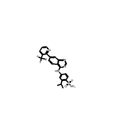 CC(C)c1cc(Nc2ncnc3cc(-c4ncccc4C(F)(F)F)ccc23)ccc1S(N)(=O)=O